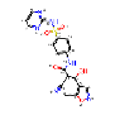 Cc1oncc1C(O)C(C#N)C(=O)Nc1ccc(S(=O)(=O)Nc2ncccn2)cc1